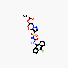 CNC(=O)OC1COc2c(S(=O)(=O)NC(=O)Nc3c4c(c(F)c5c3CCC5)CCC4)cnn2C1